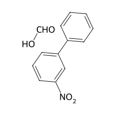 O=CO.O=[N+]([O-])c1cccc(-c2ccccc2)c1